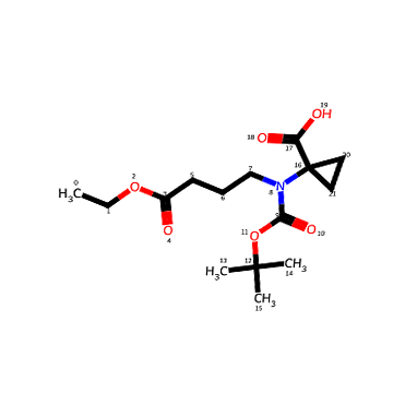 CCOC(=O)CCCN(C(=O)OC(C)(C)C)C1(C(=O)O)CC1